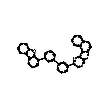 c1cc(-c2cccc(-c3cccc4c3oc3ccccc34)c2)cc(-c2cnc3oc4ccc5ccccc5c4c3n2)c1